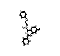 CN(CCOc1ccccc1)c1nc(-c2cccnc2)nc2cc(F)ccc12